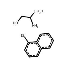 CCc1cccc2ccccc12.NC(CO)C(=O)O